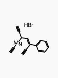 Br.C#[C][Mg][CH](C#C)C=C(C#C)c1ccccc1